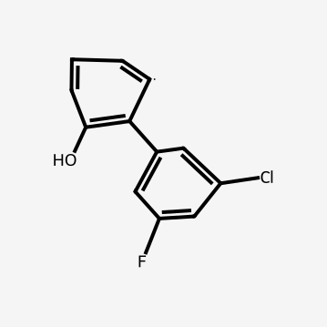 Oc1ccc[c]c1-c1cc(F)cc(Cl)c1